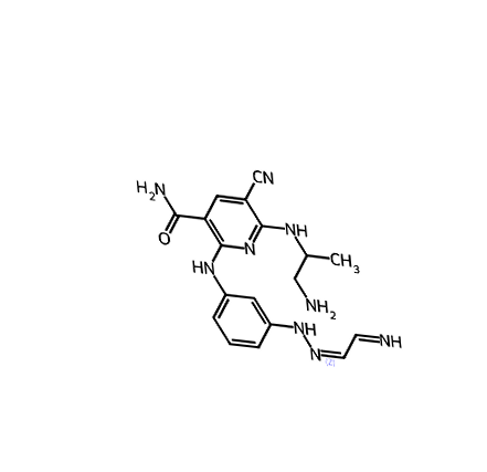 CC(CN)Nc1nc(Nc2cccc(N/N=C\C=N)c2)c(C(N)=O)cc1C#N